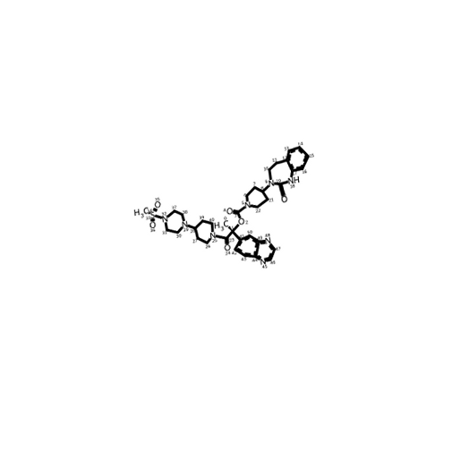 C[C@](OC(=O)N1CCC(N2CCc3ccccc3NC2=O)CC1)(C(=O)N1CCC(N2CCN(S(C)(=O)=O)CC2)CC1)c1ccc2nccnc2c1